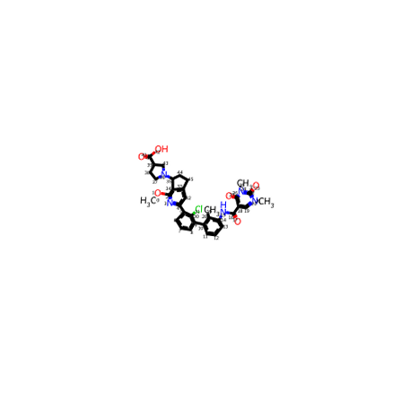 COc1nc(-c2cccc(-c3cccc(NC(=O)c4cn(C)c(=O)n(C)c4=O)c3C)c2Cl)cc2c1C(N1CCC(C(=O)O)C1)CC2